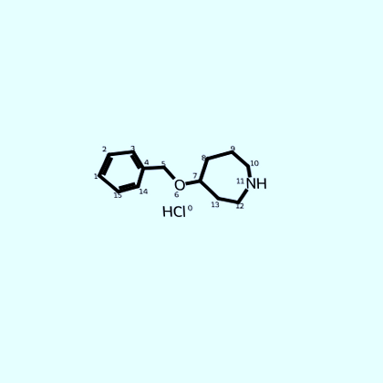 Cl.c1ccc(COC2CCCNCC2)cc1